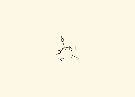 CCNC(=O)[O-].[K+]